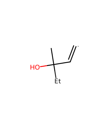 [CH]=CC(C)(O)CC